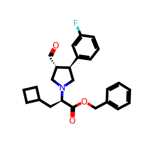 O=C[C@H]1CN([C@H](CC2CCC2)C(=O)OCc2ccccc2)C[C@@H]1c1cccc(F)c1